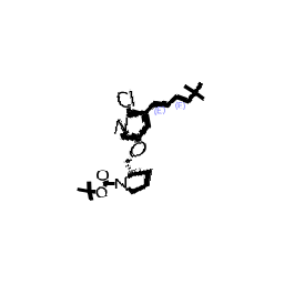 CC(C)(C)/C=C/C=C/c1cc(OC[C@@H]2CCCN2C(=O)OC(C)(C)C)cnc1Cl